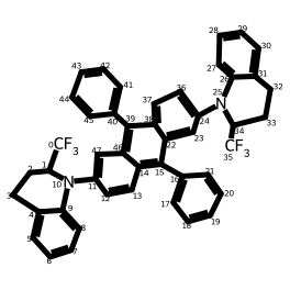 FC(F)(F)C1CCc2ccccc2N1c1ccc2c(-c3ccccc3)c3cc(N4c5ccccc5CCC4C(F)(F)F)ccc3c(-c3ccccc3)c2c1